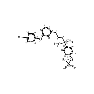 CC(C)(CCCc1cccc(Oc2ccc(F)cc2)c1)c1ccc(OC(F)(F)Br)cc1